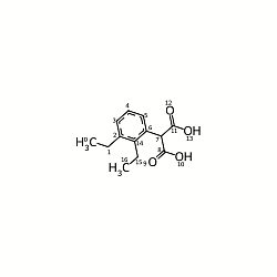 CCc1cccc(C(C(=O)O)C(=O)O)c1CC